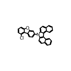 Clc1cccc2oc3cc(-n4c5ccc6ccccc6c5c5c6ccccc6ccc54)ccc3c12